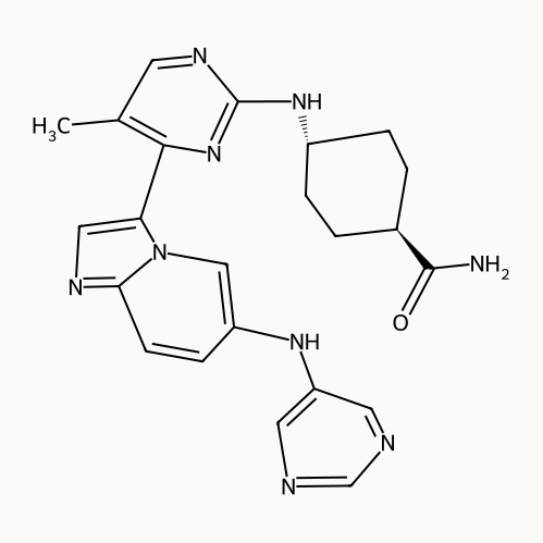 Cc1cnc(N[C@H]2CC[C@H](C(N)=O)CC2)nc1-c1cnc2ccc(Nc3cncnc3)cn12